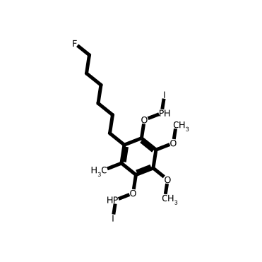 COc1c(OPI)c(C)c(CCCCCCF)c(OPI)c1OC